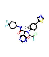 C[C@@](C(=O)NC1CCC(F)(F)CC1)(c1cncnc1)N(C(=O)[C@H](F)Cl)c1ccc(-c2cncs2)cc1